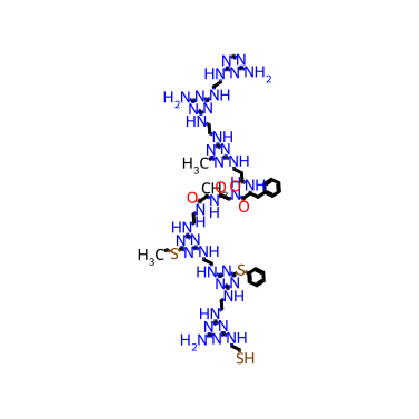 CCSc1nc(NCCNC(=O)C(C)NC(=O)CNC(=O)C(Cc2ccccc2)NC(=O)CCNc2nc(C)nc(NCCNc3nc(N)nc(NCCNc4ncnc(N)n4)n3)n2)nc(NCCNc2nc(NCCNc3nc(N)nc(NCCS)n3)nc(Sc3ccccc3)n2)n1